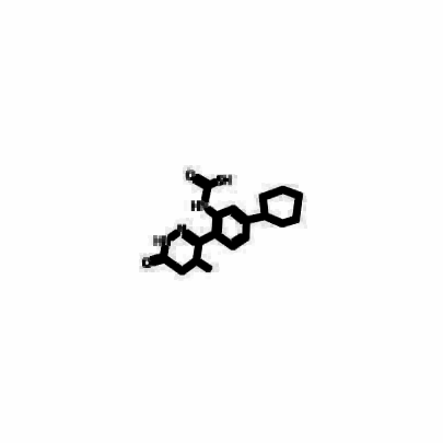 CC1CC(=O)NN=C1c1ccc(C2CCCCC2)cc1NC(=O)S